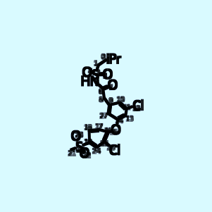 CC(C)CS(=O)(=O)NC(=O)Cc1cc(Cl)cc(Oc2ccc(S(C)(=O)=O)cc2Cl)c1